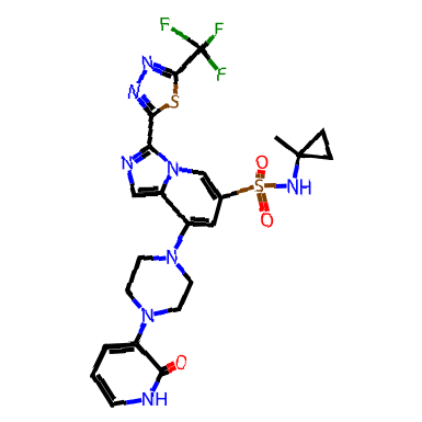 CC1(NS(=O)(=O)c2cc(N3CCN(c4ccc[nH]c4=O)CC3)c3cnc(-c4nnc(C(F)(F)F)s4)n3c2)CC1